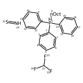 CCCCCCCC[PH](c1ccccc1)(c1ccccc1)c1ccccc1.FC(F)F.N=S